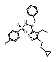 CCn1c(SCC2CC2)nnc1[C@@H](Cc1ccccc1)NS(=O)(=O)c1ccc(F)cc1